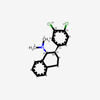 CN(C)[C@@H]1c2ccccc2CC[C@@H]1c1ccc(Cl)c(Cl)c1